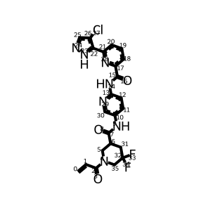 C=CC(=O)N1CC(C(=O)Nc2ccc(NC(=O)c3cccc(-c4[nH]ncc4Cl)n3)nc2)CC(F)(F)C1